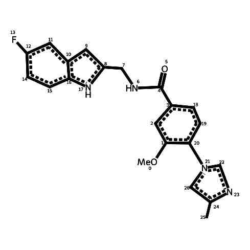 COc1cc(C(=O)NCc2cc3cc(F)ccc3[nH]2)ccc1-n1cnc(C)c1